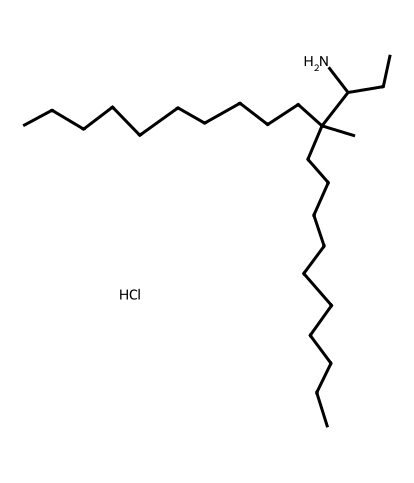 CCCCCCCCCCC(C)(CCCCCCCCCC)C(N)CC.Cl